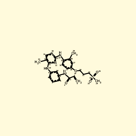 C=CC(=O)Nc1cccc(Nc2nc(Nc3ccc(OCCCS(C)(=O)=O)cc3C)ncc2C)c1